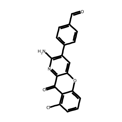 Nc1nc2c(=O)c3c(Cl)cccc3oc2cc1-c1ccc(C=O)cc1